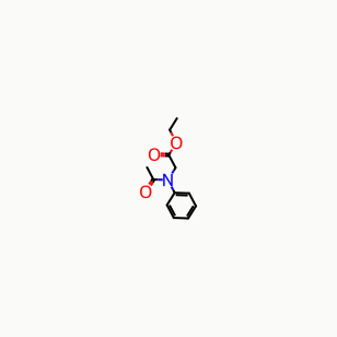 CCOC(=O)CN(C(C)=O)c1ccccc1